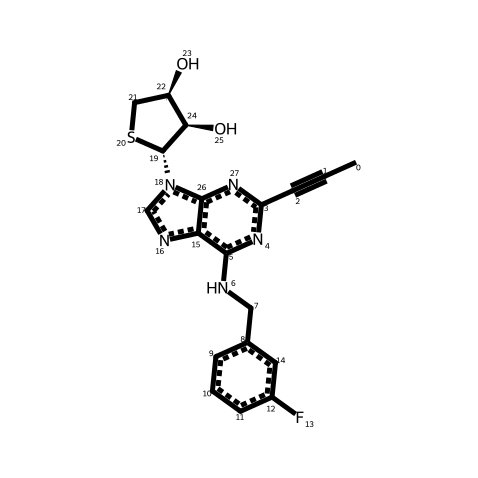 CC#Cc1nc(NCc2cccc(F)c2)c2ncn([C@@H]3SC[C@@H](O)[C@H]3O)c2n1